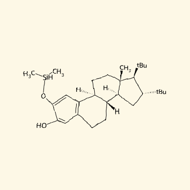 C[SiH](C)Oc1cc2c(cc1O)CC[C@@H]1[C@@H]2CC[C@]2(C)[C@@H](C(C)(C)C)[C@H](C(C)(C)C)C[C@@H]12